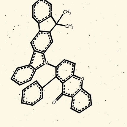 CC1(C)c2ccccc2-c2cc3c4ccccc4n(-c4ccc5oc6ccccc6c(=O)c5c4-c4ccccc4)c3cc21